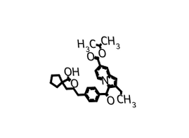 CCc1cc2cc(C(=O)OC(C)C)ccn2c1C(=O)c1ccc(CCCC2(C(=O)O)CCCC2)cc1